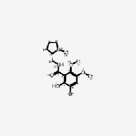 CCOc1cc(Br)c(O)c(C(=O)NC[C@@H]2CCCN2CC)c1OCC